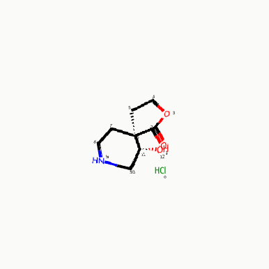 Cl.O=C1OCC[C@]12CCNC[C@H]2O